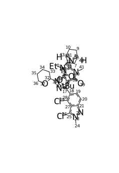 CCN(C(=O)OC(C)(C)C)[C@@H]1C[C@@H]2CC[C@H]1N2c1nc2c(c(-c3ccc4nn(C)c(Cl)c4c3Cl)nn2C2CCCCO2)c(=O)n1C